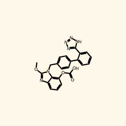 COc1nc2cccc(OC(=O)O)c2n1Cc1ccc(-c2ccccc2-c2nnn[nH]2)cc1